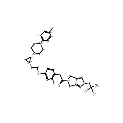 CC(C)(O)Cn1cc2c(n1)CN(C(=O)Cc1ccc(OCC[C@@H]3C[C@@H]3C3CCN(c4ncc(Cl)cn4)CC3)cc1F)C2